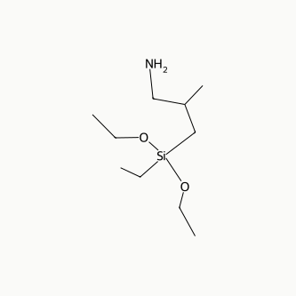 CCO[Si](CC)(CC(C)CN)OCC